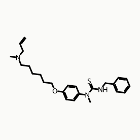 C=CCN(C)CCCCCCOc1ccc(N(C)C(=S)NCc2ccccc2)cc1